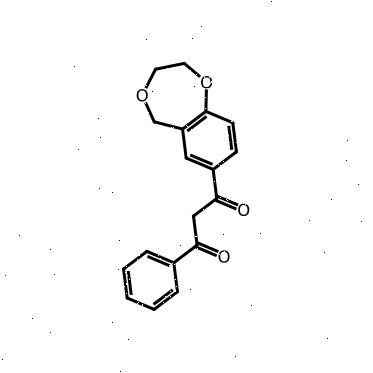 O=C(CC(=O)c1ccc2c(c1)COCCO2)c1ccccc1